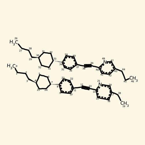 CCCC[C@H]1CC[C@H](c2ccc(C#Cc3ccc(CC)cn3)cc2)CC1.CCCC[C@H]1CC[C@H](c2ccc(C#Cc3ccc(CCC)cn3)cc2)CC1